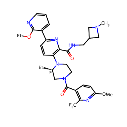 CCOc1ncccc1-c1ccc(N2CCN(C(=O)c3ccc(OC)nc3C(F)(F)F)C[C@H]2CC)c(C(=O)NCC2CN(C)C2)n1